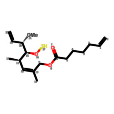 C=CCCCCC(=O)OC/C(C)=C\[C@@H](C)[C@H](OS)[C@H](C=C)OC